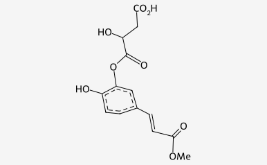 COC(=O)/C=C/c1ccc(O)c(OC(=O)C(O)CC(=O)O)c1